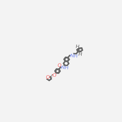 O=C(N[C@H]1CCc2cc(CNCCC3C[C@H]4CC[C@@H]3C4)ccc2C1)c1ccc(OC[C@@H]2CCCO2)cc1